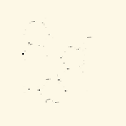 CCc1ccc(-c2cc(OC)ccc2F)c(CN2[C@@H](C)CCC[C@@H]2C)c1